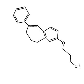 OCCCOc1ccc2c(c1)CCCC(c1ccccc1)=C2